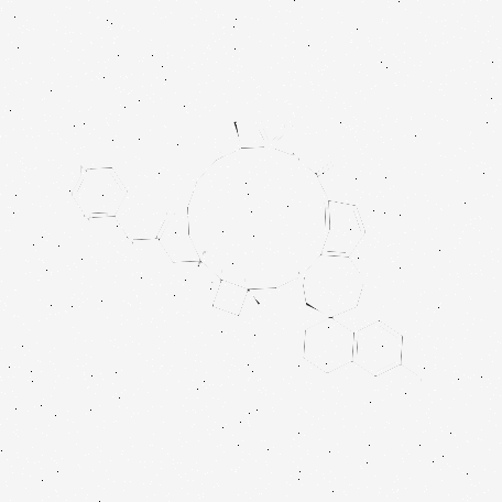 C[C@@H]1[C@@H](C)CCC[C@@](O)(CC(=O)Nc2ccncn2)[C@@H]2CC[C@H]2CN2C[C@@]3(CCCc4cc(Cl)ccc43)COc3ccc(cc32)C(=O)NS1(=O)=O